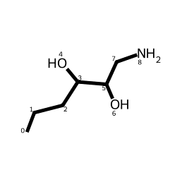 CCCC(O)C(O)CN